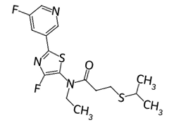 CCN(C(=O)CCSC(C)C)c1sc(-c2cncc(F)c2)nc1F